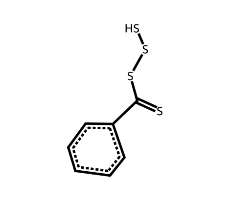 S=C(SSS)c1ccccc1